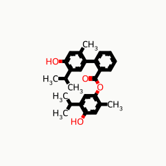 Cc1cc(O)c(C(C)C)cc1OC(=O)c1ccccc1-c1cc(C(C)C)c(O)cc1C